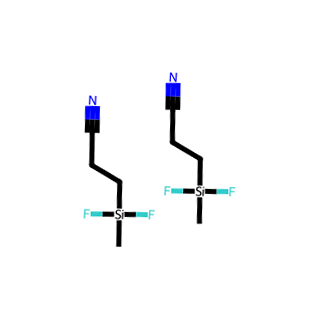 C[Si](F)(F)CCC#N.C[Si](F)(F)CCC#N